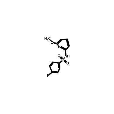 COc1cccc(NS(=O)(=O)c2ccc(F)cc2)n1